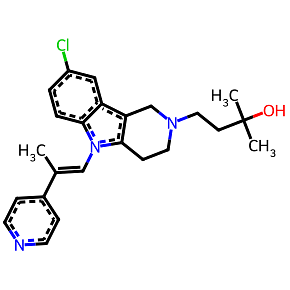 CC(=Cn1c2c(c3cc(Cl)ccc31)CN(CCC(C)(C)O)CC2)c1ccncc1